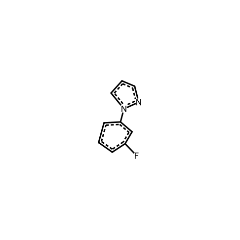 Fc1cccc(-n2cccn2)c1